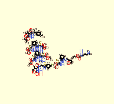 CC(C)[C@H](NC(=O)O)C(=O)N[C@H](C)c1nc2ccc(F)cc2s1.CCCOC(=O)NCCCN(C)C.CCOC(=O)NC(=S)Nc1ccccc1NC(=S)NC(=O)OCC.COC(=O)NC(=S)Nc1ccccc1N=Cc1ccco1.COC(=O)NC(=S)Nc1ccccc1NC(=S)NC(=O)OC.Cc1ccc([C@H](C)NC(=O)C(NC(=O)OC(C)C)C(C)C)cc1